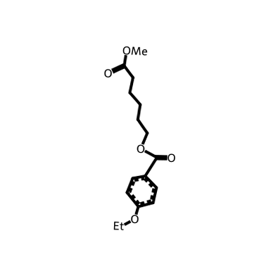 CCOc1ccc(C(=O)OCCCCCC(=O)OC)cc1